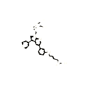 CCOP(=O)(OCC)OCn1cc(-c2ccnc(F)c2)c2cc(-c3cccc(NC(=O)C=CCN(C)C)c3)cnc21